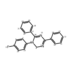 Fc1ccc(N2CN=C(c3ccccc3)N=C2c2ccccc2)cc1